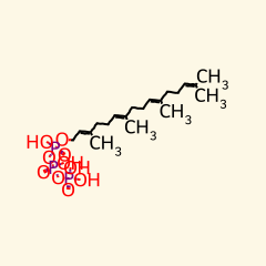 CC(C)=CCC/C(C)=C/CC/C(C)=C/CC/C(C)=C/COP(=O)(O)OP(=O)(O)OP(=O)(O)O